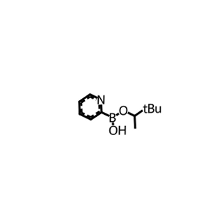 CC(OB(O)c1ccccn1)C(C)(C)C